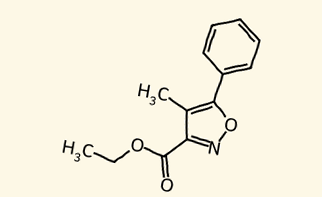 CCOC(=O)c1noc(-c2ccccc2)c1C